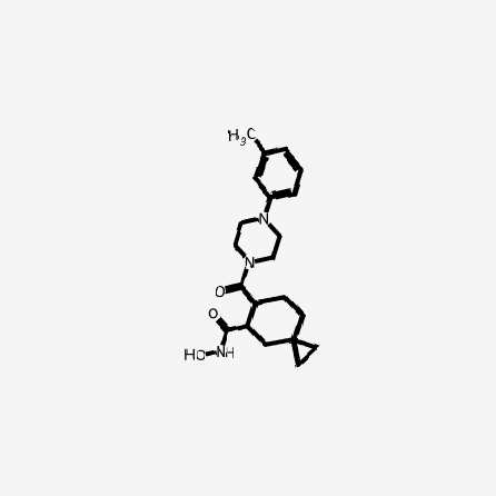 Cc1cccc(N2CCN(C(=O)C3CCC4(CC4)CC3C(=O)NO)CC2)c1